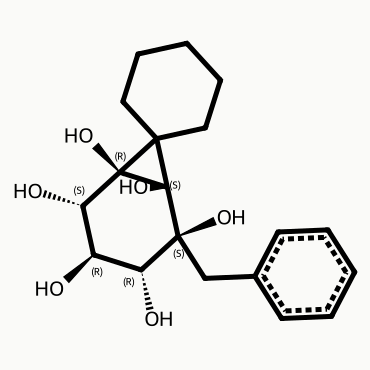 O[C@@H]1[C@@H](O)[C@@](O)(Cc2ccccc2)[C@@]2(O)C3(CCCCC3)[C@@]2(O)[C@H]1O